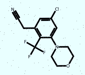 N#CCc1cc(Cl)cc(N2CCOCC2)c1C(F)(F)F